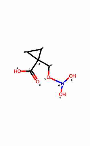 O=C(O)C1(CON(O)O)CC1